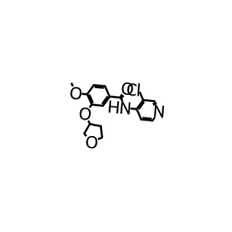 COc1ccc(C(=O)Nc2ccncc2Cl)cc1OC1CCOC1